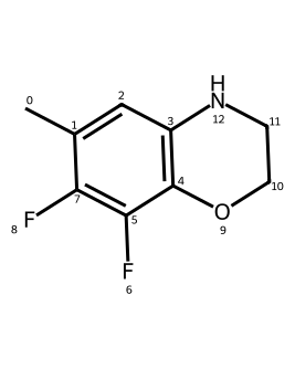 Cc1cc2c(c(F)c1F)OCCN2